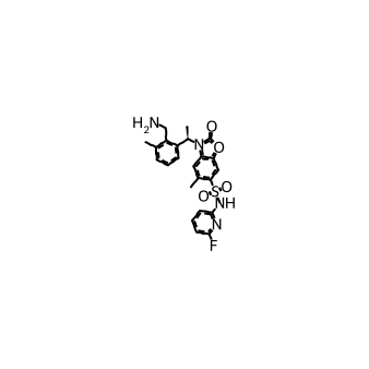 Cc1cc2c(cc1S(=O)(=O)Nc1cccc(F)n1)oc(=O)n2[C@H](C)c1cccc(C)c1CN